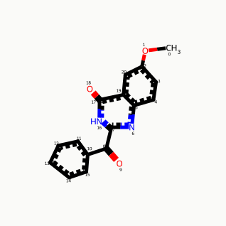 COc1ccc2nc(C(=O)c3ccccc3)[nH]c(=O)c2c1